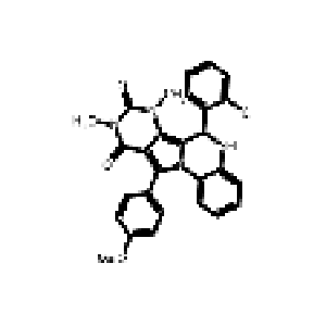 COc1ccc(-c2c3c(=O)n(C)c(=O)n(C)c3c3n2-c2ccccc2NC3c2ccccc2Cl)cc1